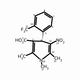 CC1=C(C(=O)O)[C@H](c2ccccc2C(F)(F)F)C([N+](=O)[O-])=C(C)N1C